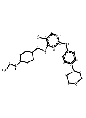 FC(F)(F)CNC1CCC(COc2nc(Nc3ccc(N4CCOCC4)cc3)ncc2Cl)CC1